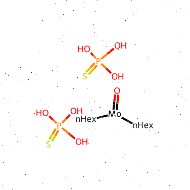 CCCCC[CH2][Mo](=[O])[CH2]CCCCC.OP(O)(O)=S.OP(O)(O)=S